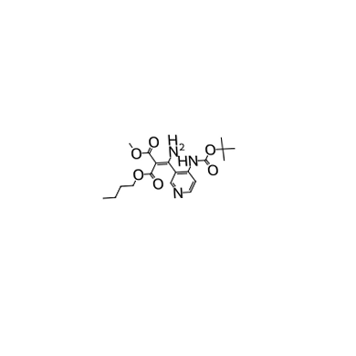 CCCCOC(=O)/C(C(=O)OC)=C(/N)c1cnccc1NC(=O)OC(C)(C)C